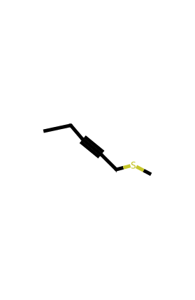 CCC#C[CH]SC